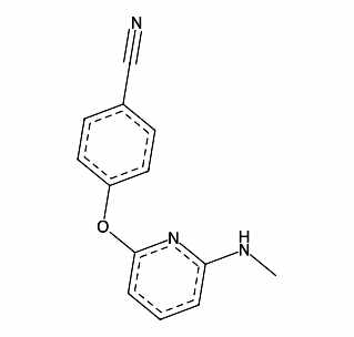 CNc1cccc(Oc2ccc(C#N)cc2)n1